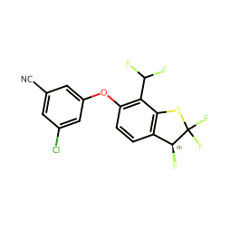 N#Cc1cc(Cl)cc(Oc2ccc3c(c2C(F)F)SC(F)(F)[C@H]3F)c1